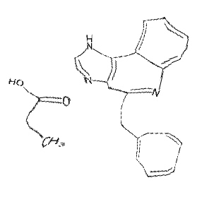 CCC(=O)O.c1ccc(Cc2nc3ccccc3c3[nH]cnc23)cc1